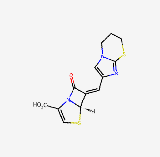 O=C(O)C1=CS[C@@H]2C(=Cc3cn4c(n3)SCCC4)C(=O)N12